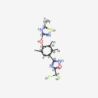 CCCc1nc(Oc2c(C)cc(-c3noc(C(F)F)n3)c(C)c2C)ns1